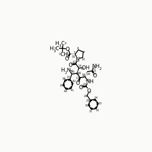 CC(C)(C)OC(=O)[C@@H]1CCCN1C(=O)C(O)[C@@H](C(=O)[C@H](CC(N)=O)NC(=O)OCc1ccccc1)C(N)c1ccccc1